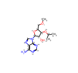 COCC1OC(n2cnc3c(N)ncnc32)[C@@H](O)[C@@H]1OC(C)C